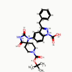 CC(C)(C)OC(=O)N1CCC2(CC1)C(=O)NC(=O)N2c1ccc2c(c1)c(Cc1ccccc1)nn2C(=O)O